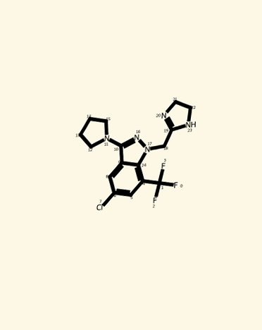 FC(F)(F)c1cc(Cl)cc2c(N3CCCC3)nn(CC3=NCCN3)c12